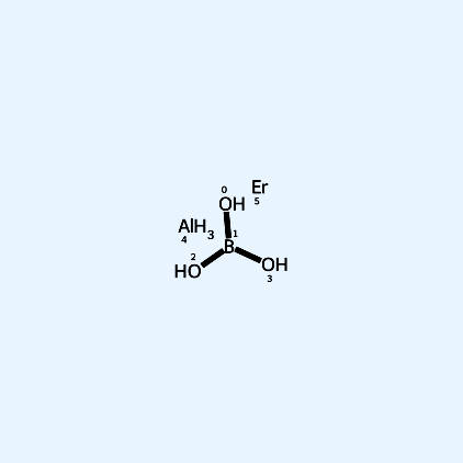 OB(O)O.[AlH3].[Er]